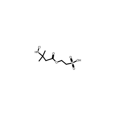 CC(C)(CC(=O)OCCS(=O)(=O)O)NCl